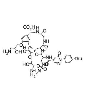 C[C@@H]1NC(=O)[C@@H](N(C)C(=O)[C@H](CNS(N)(=O)=O)NC(=O)c2cnn(-c3ccc(C(C)(C)C)cc3)c(=O)c2)c2cc(OC[C@H](O)CN)c(O)c(c2)-c2cc(ccc2OC[C@H](O)CN)CC(C(=O)O)NC1=O